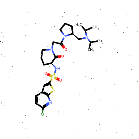 CC(C)N(C[C@@H]1CCCN1C(=O)CN1CCC[C@H](NS(=O)(=O)c2cc3ccc(Cl)nc3s2)C1=O)C(C)C